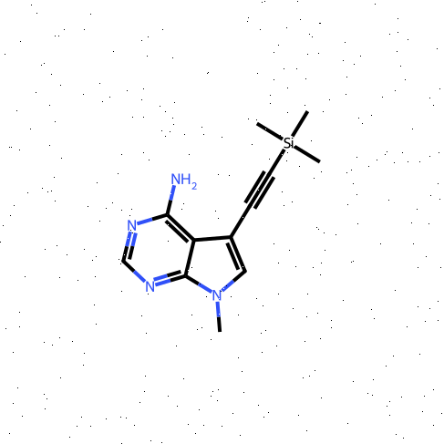 Cn1cc(C#C[Si](C)(C)C)c2c(N)ncnc21